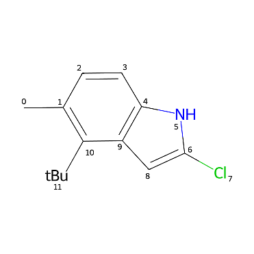 Cc1ccc2[nH]c(Cl)cc2c1C(C)(C)C